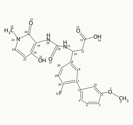 COc1cccc(-c2cc(C(CC(=O)O)NC(=O)Nc3c(O)ccn(C)c3=O)ccc2F)c1